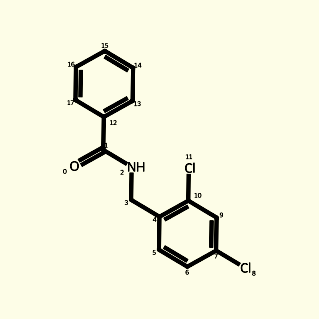 O=C(NCc1ccc(Cl)cc1Cl)c1ccccc1